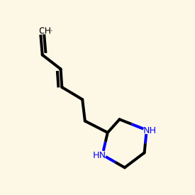 [CH]=CC=CCCC1CNCCN1